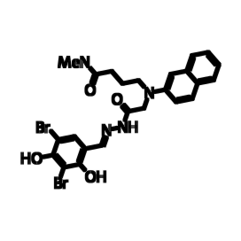 CNC(=O)CCCN(CC(=O)N/N=C/c1cc(Br)c(O)c(Br)c1O)c1ccc2ccccc2c1